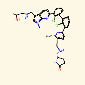 COc1nc(-c2cccc(-c3cccc(-c4ccc5c(CNCC(C)O)cn(C)c5n4)c3Cl)c2Cl)ccc1CNC[C@@H]1CCC(=O)N1